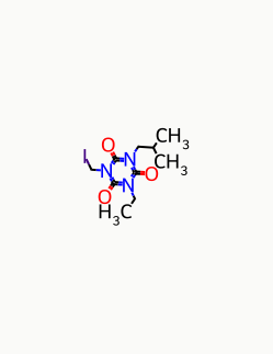 CCn1c(=O)n(CI)c(=O)n(CC(C)C)c1=O